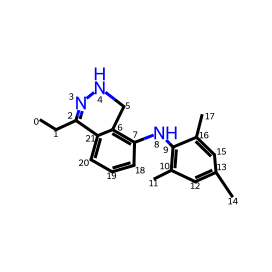 CCC1=NNCc2c(Nc3c(C)cc(C)cc3C)cccc21